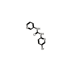 O=C(Nc1cccnc1)Nc1ccc(Br)cn1